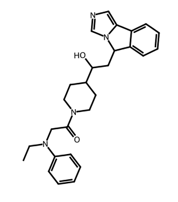 CCN(CC(=O)N1CCC(C(O)CC2c3ccccc3-c3cncn32)CC1)c1ccccc1